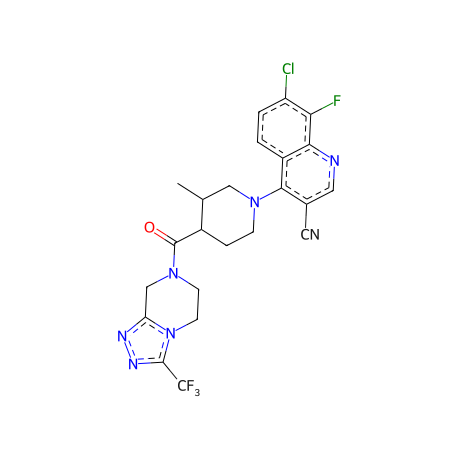 CC1CN(c2c(C#N)cnc3c(F)c(Cl)ccc23)CCC1C(=O)N1CCn2c(nnc2C(F)(F)F)C1